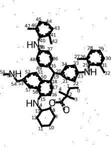 CCC(C)(C)C(=O)OC1CCCCC1Nc1ccc(C(c2ccc(Nc3c(C)cccc3C)cc2)c2ccc(Nc3c(C)cccc3C)cc2)c2ccc(CNC)cc12